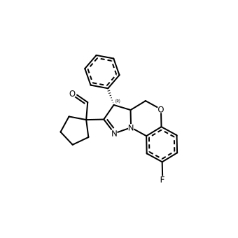 O=CC1(C2=NN3c4cc(F)ccc4OCC3[C@H]2c2ccccc2)CCCC1